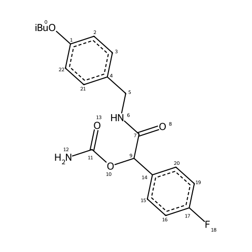 CC(C)COc1ccc(CNC(=O)C(OC(N)=O)c2ccc(F)cc2)cc1